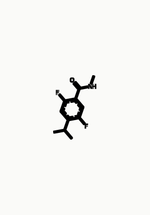 CNC(=O)c1cc(F)c(C(C)C)cc1F